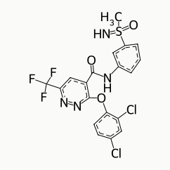 CS(=N)(=O)c1cccc(NC(=O)c2cc(C(F)(F)F)nnc2Oc2ccc(Cl)cc2Cl)c1